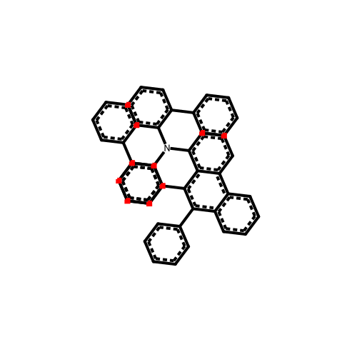 c1ccc(-c2ccccc2N(c2ccccc2-c2ccccc2)c2cccc3c2c(-c2ccccc2)c(-c2ccccc2)c2ccccc23)cc1